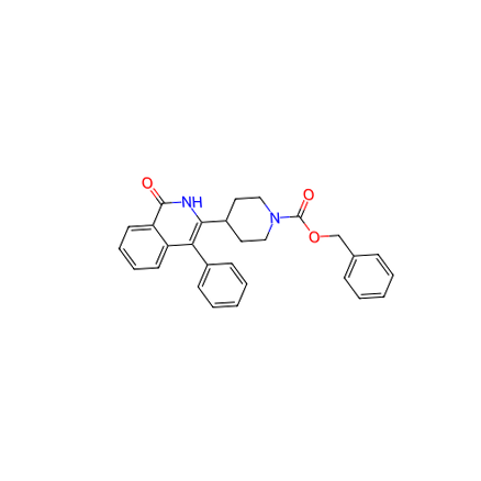 O=C(OCc1ccccc1)N1CCC(c2[nH]c(=O)c3ccccc3c2-c2ccccc2)CC1